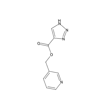 O=C(OCc1cccnc1)c1c[nH]nn1